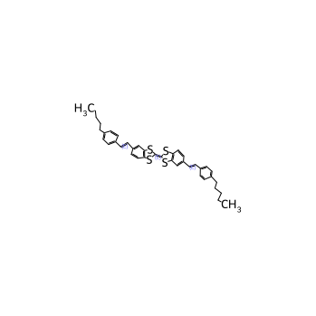 CCCCCc1ccc(/C=C/c2ccc3c(c2)S/C(=C2\Sc4ccc(/C=C/c5ccc(CCCCC)cc5)cc4S2)S3)cc1